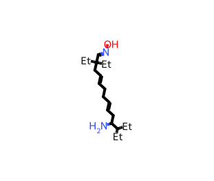 CCC(CC)C(N)CC=CCCC=CCC(C=NO)(CC)CC